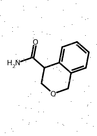 NC(=O)C1COCc2ccccc21